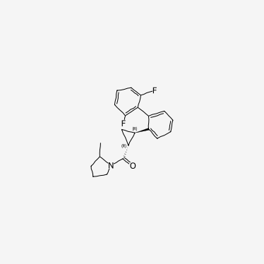 CC1CCCN1C(=O)[C@@H]1C[C@H]1c1ccccc1-c1c(F)cccc1F